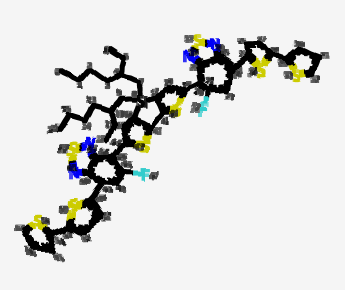 CCCCC(CC)C[Si]1(CC(CC)CCCC)c2cc(-c3c(F)cc(-c4ccc(-c5cccs5)s4)c4nsnc34)sc2-c2sc(-c3c(F)cc(-c4ccc(-c5cccs5)s4)c4nsnc34)cc21